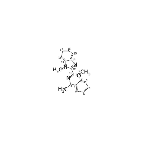 COc1ccccc1C(C)/N=C/c1nc2ccccc2n1C